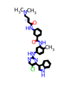 Cc1ccc(Nc2ncc(Cl)c(-c3c[nH]c4ccccc34)n2)cc1NC(=O)c1cccc(NC(=O)/C=C/CN(C)C)c1